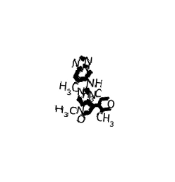 Cc1cc2ncnn2cc1Nc1ncc2c(n1)c(C1C(C)COCC1C)cc(=O)n2C